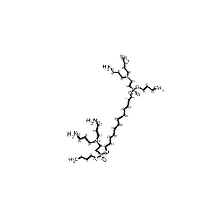 CCCCOP(=O)(CCN(CCCN)CCCN)OCCCCCCCCCCCCOP(=O)(CCN(CCCN)CCCN)OCCCC